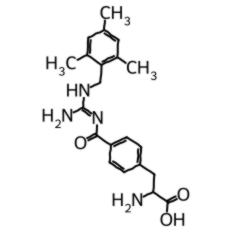 Cc1cc(C)c(CNC(N)=NC(=O)c2ccc(CC(N)C(=O)O)cc2)c(C)c1